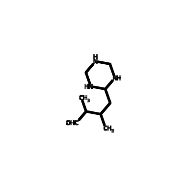 CC(C=O)C(C)CC1NCNCN1